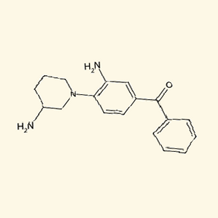 Nc1cc(C(=O)c2ccccc2)ccc1N1CCCC(N)C1